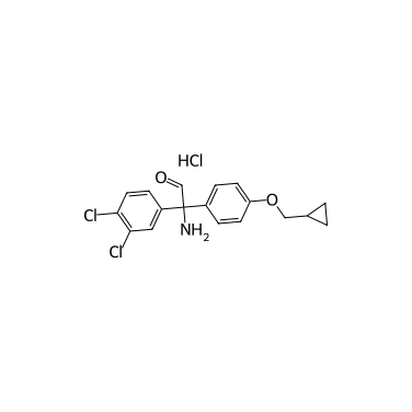 Cl.NC(C=O)(c1ccc(OCC2CC2)cc1)c1ccc(Cl)c(Cl)c1